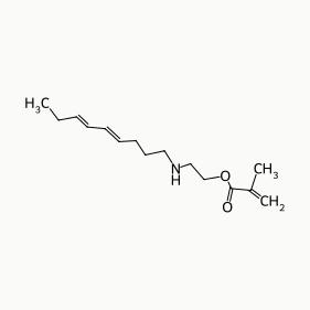 C=C(C)C(=O)OCCNCCCC=CC=CCC